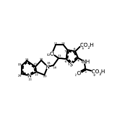 O=C(O)C(=O)Nc1sc2c(c1C(=O)O)CCOC2CN1Cc2cccnc2C1